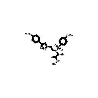 COc1ccc(-c2cn(CCN([C@@H](C(=O)NO)C(C)C)S(=O)(=O)c3ccc(OC)cc3)nn2)cc1